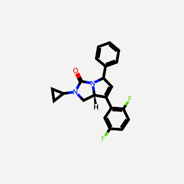 O=C1N(C2CC2)C[C@H]2C(c3cc(F)ccc3F)=CC(c3ccccc3)N12